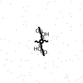 C=CCc1cc(OCC(O)COC(=O)C=C)c(CC=C)cc1OCC(O)COC(=O)C=C